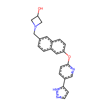 OC1CN(Cc2ccc3cc(Oc4ccc(-c5ccn[nH]5)cn4)ccc3c2)C1